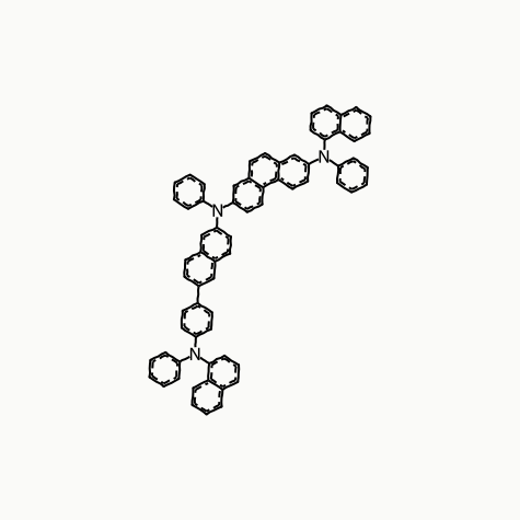 c1ccc(N(c2ccc3cc(-c4ccc(N(c5ccccc5)c5cccc6ccccc56)cc4)ccc3c2)c2ccc3c(ccc4cc(N(c5ccccc5)c5cccc6ccccc56)ccc43)c2)cc1